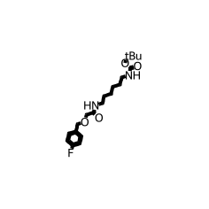 CC(C)(C)OC(=O)NCCCCCCNC(=O)COCc1ccc(F)cc1